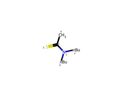 CCCCN(CCCC)C(C)=S